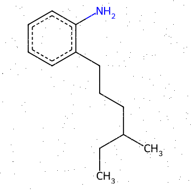 CCC(C)CCCc1ccccc1N